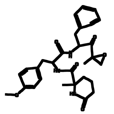 COc1ccc(CC(NC(=O)C2(C)CCCC(=O)N2)C(=O)NC(Cc2ccccc2)C(=O)C2(C)CO2)cc1